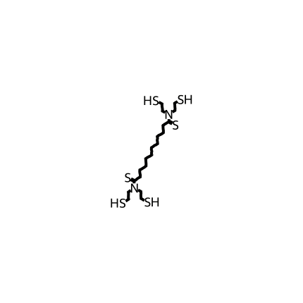 S=C(CCCCCCCCCCC(=S)N(CCS)CCS)N(CCS)CCS